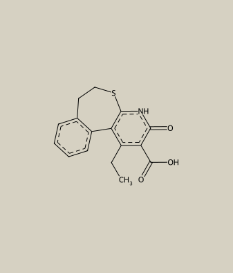 CCc1c2c([nH]c(=O)c1C(=O)O)SCCc1ccccc1-2